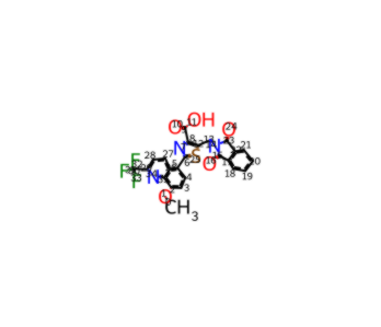 COc1ccc(-c2nc(C(=O)O)c(CN3C(=O)c4ccccc4C3=O)s2)c2ccc(C(F)(F)F)nc12